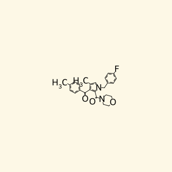 Cc1ccc(C(=O)c2c(C)cn(Cc3ccc(F)cc3)c2C(=O)N2CCOCC2)cc1